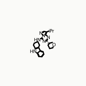 CC(C)c1cnn2c(NC3CCc4[nH]c5ccccc5c4C3)nc([C@H]3CCCOC3)nc12